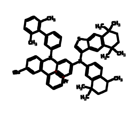 Cc1cccc(C)c1-c1cccc(N(c2cc(C(C)C)cc(N(c3ccc4c(c3)C(C)(C)CCC4C)c3csc4cc5c(cc34)C(C)(C)CCC5(C)C)c2)c2ccc(C(C)(C)C)cc2-c2ccccc2)c1